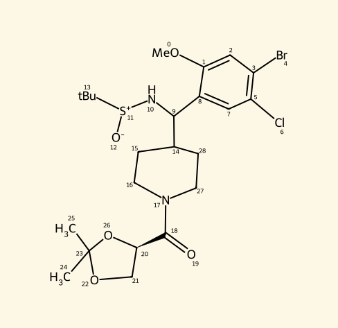 COc1cc(Br)c(Cl)cc1C(N[S+]([O-])C(C)(C)C)C1CCN(C(=O)[C@H]2COC(C)(C)O2)CC1